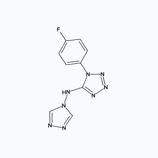 Fc1ccc(-n2nnnc2Nn2cnnc2)cc1